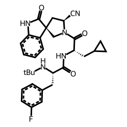 CC(C)(C)N[C@@H](Cc1cccc(F)c1)C(=O)N[C@@H](CC1CC1)C(=O)N1C[C@]2(C[C@H]1C#N)C(=O)Nc1ccccc12